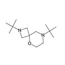 CC(C)(C)N1CCOC2(C1)CN(C(C)(C)C)C2